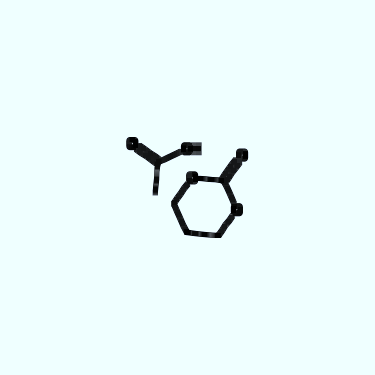 CC(=O)O.O=C1OCCCO1